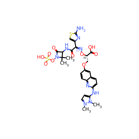 Cn1c(Nc2ccc3cc(OC[C@H](O/N=C(\C(=O)NC4C(=O)N(OS(=O)(=O)O)C4(C)C)c4csc(N)n4)C(=O)O)ccc3n2)cc[n+]1C